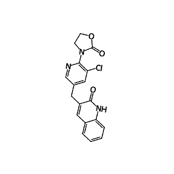 O=C1OCCN1c1ncc(Cc2cc3ccccc3[nH]c2=O)cc1Cl